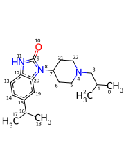 CC(C)CN1CCC(n2c(=O)[nH]c3ccc(C(C)C)cc32)CC1